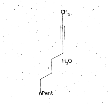 CC#CCCCCCCCCC.O